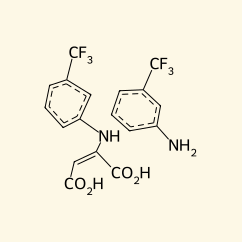 Nc1cccc(C(F)(F)F)c1.O=C(O)C=C(Nc1cccc(C(F)(F)F)c1)C(=O)O